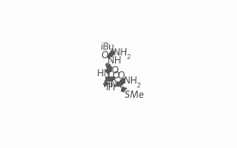 CC[C@H](C)[C@H](N)C(=O)NCC(=O)N[C@@H](CC(C)C)C(=O)N[C@@H](CCSC)C(N)=O